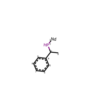 CC([PH][Nd])c1ccccc1